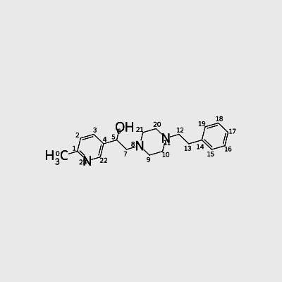 Cc1ccc(C(O)CN2CCN(CCc3ccccc3)CC2)cn1